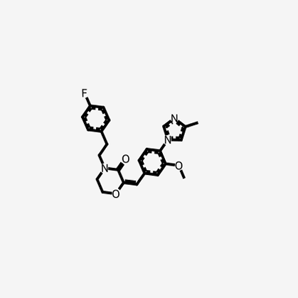 COc1cc(/C=C2/OCCN(CCc3ccc(F)cc3)C2=O)ccc1-n1cnc(C)c1